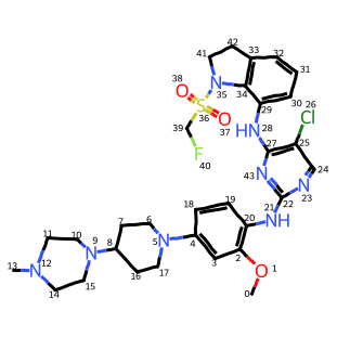 COc1cc(N2CCC(N3CCN(C)CC3)CC2)ccc1Nc1ncc(Cl)c(Nc2cccc3c2N(S(=O)(=O)CF)CC3)n1